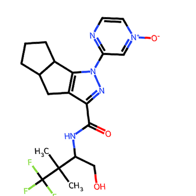 CC(C)(C(CO)NC(=O)c1nn(-c2c[n+]([O-])ccn2)c2c1CC1CCCC21)C(F)(F)F